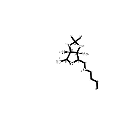 CCCCOCC1OC(O)[C@@H]2OC(C)(C)O[C@H]12